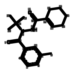 Cc1cccc(C(=O)N(NC(=O)C2=CCCCC2)C(C)(C)C)c1